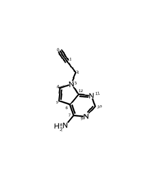 C#CCn1ccc2c(N)ncnc21